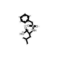 CC(C)CC(NS(=O)(=O)Cc1ccccc1)C(=O)O